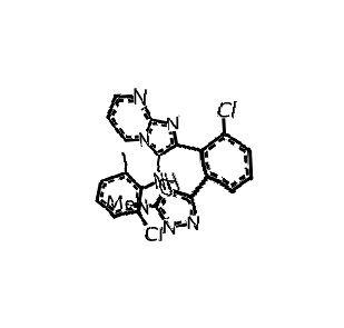 CNc1nnc(-c2cccc(Cl)c2-c2nc3ncccn3c2Nc2c(C)cccc2Cl)o1